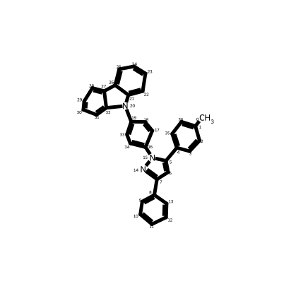 Cc1ccc(-c2cc(-c3ccccc3)nn2-c2ccc(-n3c4ccccc4c4ccccc43)cc2)cc1